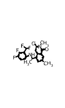 Cc1cc([C@@H](C)Nc2ccc(F)c(F)c2C(F)F)c2cc(Cl)n(C)c(=O)c2c1